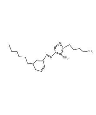 CCCCCCN1C=C(/N=N/c2cnn(CCCCN)c2N)C=CC1